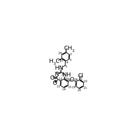 Cc1ccc(CNC2=NS(=O)(=O)c3cccc(Oc4ccccc4Cl)c3N2)c(C)c1